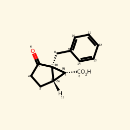 O=C(O)[C@@H]1[C@@H]2CCC(=O)[C@@]12Cc1ccccc1